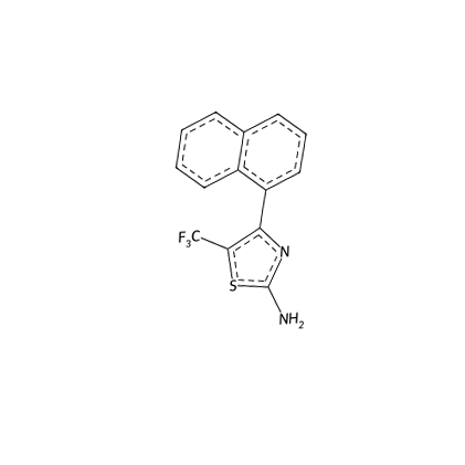 Nc1nc(-c2cccc3ccccc23)c(C(F)(F)F)s1